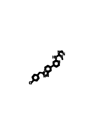 Cn1ncnc1Nc1cc(-c2ccn3c(Cc4ccc(Cl)cc4)nnc3c2)ccn1